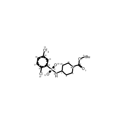 CC(C)(C)OC(=O)N1CCC(NS(=O)(=O)c2cc(C(F)(F)F)ccc2Cl)CC1